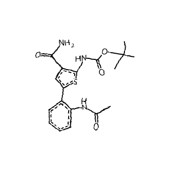 CC(=O)Nc1ccccc1-c1cc(C(N)=O)c(NC(=O)OC(C)(C)C)s1